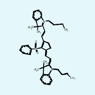 CCCCN1/C(=C/C=C2\CCC(/C=C/C3=[N+](CCCC)c4ccccc4C3(C)C)=C2S(=O)(=O)c2ccccc2)C(C)(C)c2ccccc21